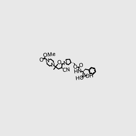 COC(=O)N1CCN(C(C)(C)CC(C#N)C(=O)N2CC[C@H](COC(=O)N[C@@H](Cc3ccccc3)B(O)O)C2)CC1